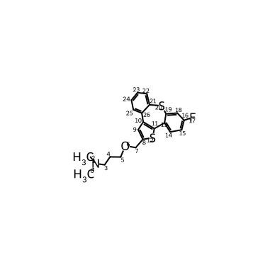 CN(C)CCCOCc1cc2c(s1)-c1ccc(F)cc1Sc1ccccc1-2